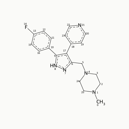 CN1CCN(Cc2n[nH]c(-c3ccc(F)cc3)c2-c2ccncc2)CC1